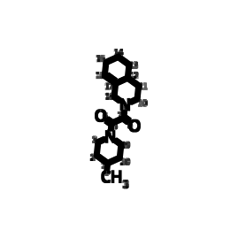 CC1CCN(C(=O)C(=O)N2CCC3CCCC=C3C2)CC1